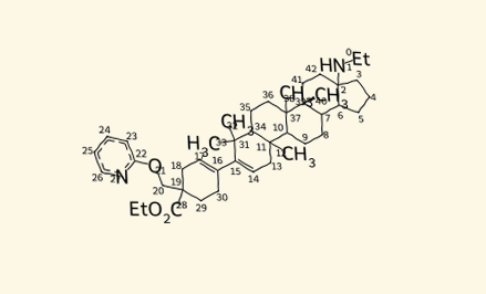 CCNC12CCCC1C1CCC3C4(C)CC=C(C5=CCC(COc6ccccn6)(C(=O)OCC)CC5)C(C)(C)C4CCC3(C)[C@]1(C)CC2